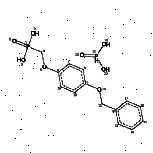 O=P(O)(O)COc1ccc(OCc2ccccc2)cc1.O=[PH](O)O